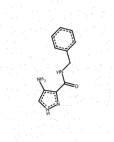 Nc1c[nH]nc1C(=O)NCc1ccccc1